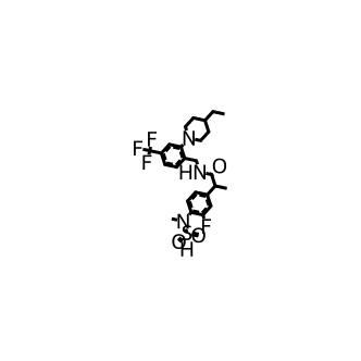 CCC1CCN(c2cc(C(F)(F)F)ccc2CNC(=O)C(C)c2ccc(N(C)[SH](=O)=O)c(F)c2)CC1